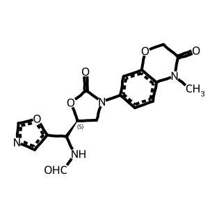 CN1C(=O)COc2cc(N3C[C@@H](C(NC=O)c4cnco4)OC3=O)ccc21